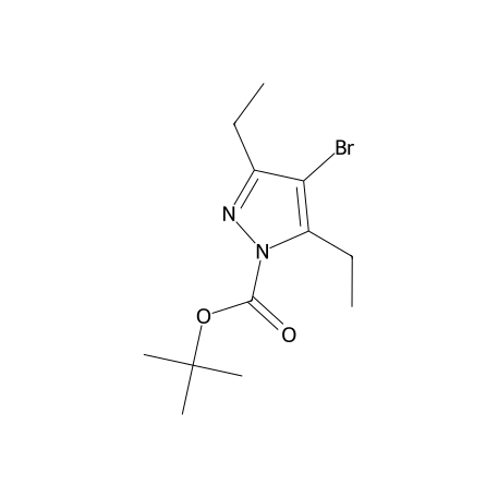 CCc1nn(C(=O)OC(C)(C)C)c(CC)c1Br